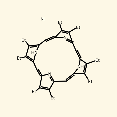 CCC1=C(CC)c2cc3[nH]c(cc4nc(cc5[nH]c(cc1n2)c(CC)c5CC)C(CC)=C4CC)c(CC)c3CC.[Ni]